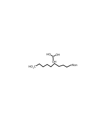 CCCCCCCCCCCCCCCCCC(=O)O.OB(O)O